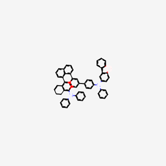 C1=Cc2c(-c3cccc4cccc(-c5cccc(-c6ccc(N(c7ccccc7)c7ccc8oc9ccccc9c8c7)cc6)c5)c34)ccc(N(c3ccccc3)c3ccccc3)c2CC1